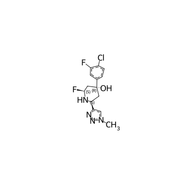 Cn1cc([C@@H]2C[C@](O)(c3ccc(Cl)c(F)c3)C[C@H](F)N2)nn1